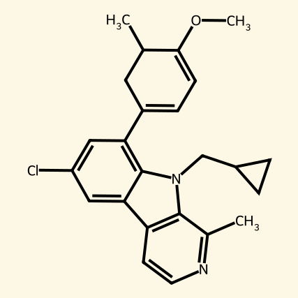 COC1=CC=C(c2cc(Cl)cc3c4ccnc(C)c4n(CC4CC4)c23)CC1C